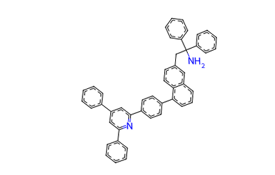 NC(Cc1ccc2c(-c3ccc(-c4cc(-c5ccccc5)cc(-c5ccccc5)n4)cc3)cccc2c1)(c1ccccc1)c1ccccc1